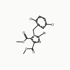 COC(=O)c1nc(Br)n(Cc2cc(Cl)ccc2Cl)c1C(=O)OC